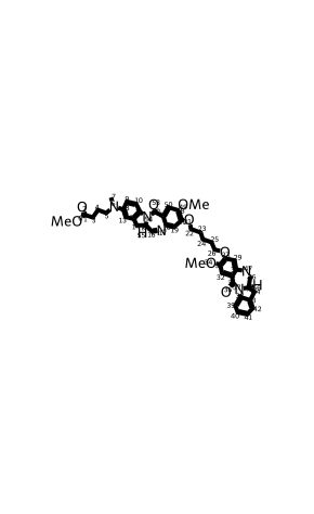 COC(=O)CCCN(C)c1ccc2c(c1)C[C@H]1C=Nc3cc(OCCCCCOc4cc5c(cc4OC)C(=O)N4c6ccccc6C[C@H]4C=N5)c(OC)cc3C(=O)N21